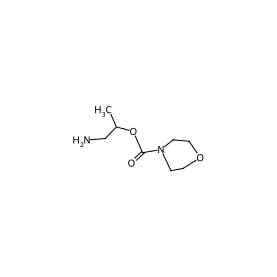 CC(CN)OC(=O)N1CCOCC1